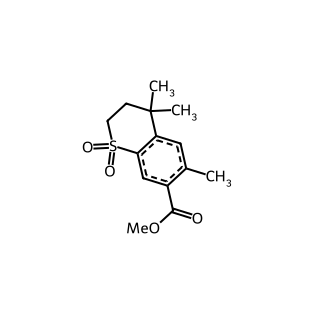 COC(=O)c1cc2c(cc1C)C(C)(C)CCS2(=O)=O